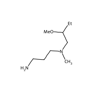 CCC(CN(C)CCCN)OC